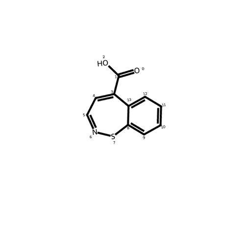 O=C(O)C1=CC=NSc2ccccc21